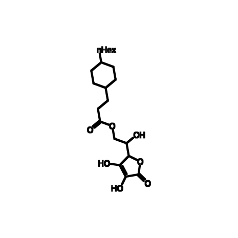 CCCCCCC1CCC(CCC(=O)OCC(O)C2OC(=O)C(O)=C2O)CC1